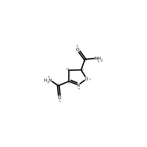 NC(=O)C1=NOC(C(N)=O)C1